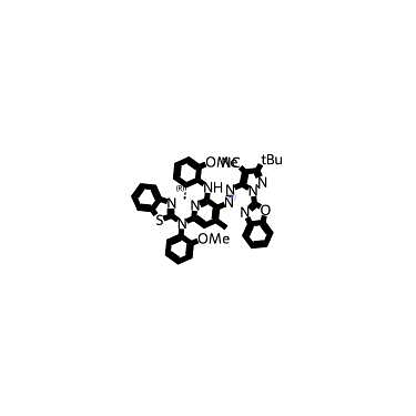 COC1=CC=C[C@@H](C)C1Nc1nc(N(c2nc3ccccc3s2)c2ccccc2OC)cc(C)c1/N=N/c1c(C#N)c(C(C)(C)C)nn1-c1nc2ccccc2o1